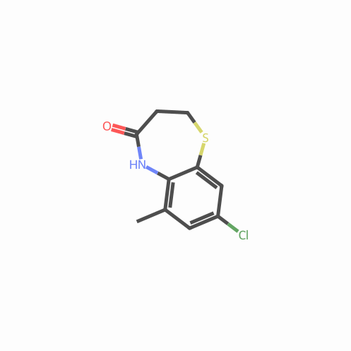 Cc1cc(Cl)cc2c1NC(=O)CCS2